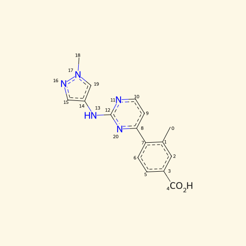 Cc1cc(C(=O)O)ccc1-c1ccnc(Nc2cnn(C)c2)n1